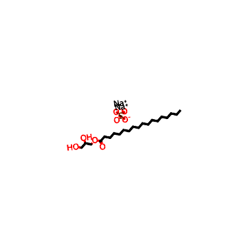 CCCCCCCCCCCCCCCCCC(=O)OCC(O)CO.O=S(=O)([O-])[O-].[Na+].[Na+]